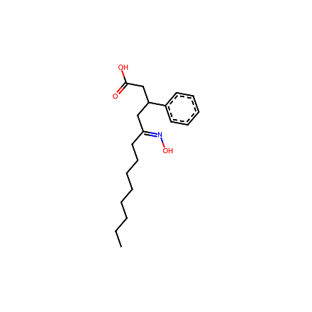 CCCCCCCCC(CC(CC(=O)O)c1ccccc1)=NO